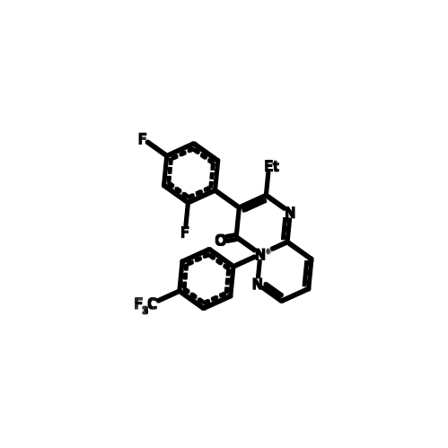 CCC1=C(c2ccc(F)cc2F)C(=O)[N+]2(c3ccc(C(F)(F)F)cc3)N=CC=CC2=N1